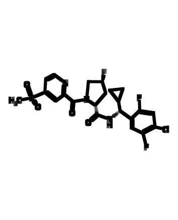 CS(=O)(=O)c1ccnc(C(=O)N2C[C@@H](F)C[C@@H]2C(=O)N[C@@H](c2cc(F)c(Cl)cc2F)C2CC2)c1